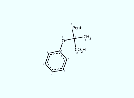 CCCC(C)C(C)(Oc1ccccc1)C(=O)O